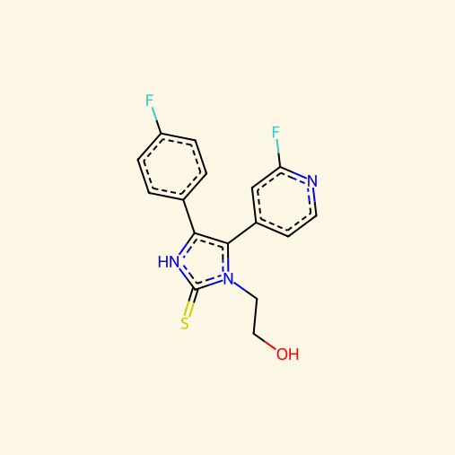 OCCn1c(-c2ccnc(F)c2)c(-c2ccc(F)cc2)[nH]c1=S